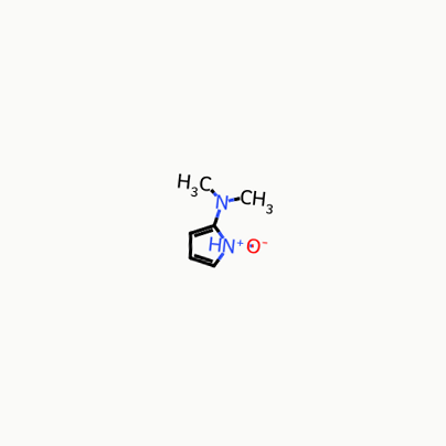 CN(C)C1=CC=C[NH+]1[O-]